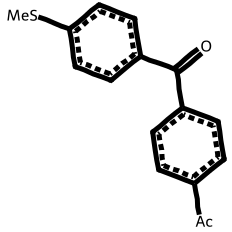 CSc1ccc(C(=O)c2ccc(C(C)=O)cc2)cc1